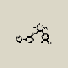 Cc1nc(/C(N)=C(\COc2cc(-n3ccnn3)ncn2)N(C)N)ccc1O